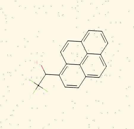 OC(c1ccc2ccc3cccc4ccc1c2c34)C(F)(F)F